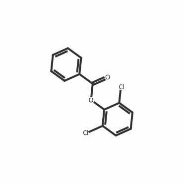 O=C(Oc1c(Cl)cccc1Cl)c1ccccc1